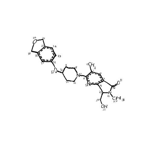 Cc1cc2c(nc1N1CCC(Oc3ccc4c(c3)COC4)CC1)C(CO)N(C)C2=O